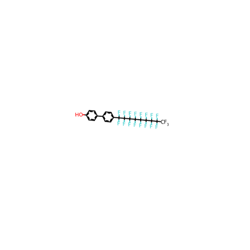 Oc1ccc(-c2ccc(C(F)(F)C(F)(F)C(F)(F)C(F)(F)C(F)(F)C(F)(F)C(F)(F)C(F)(F)C(F)(F)F)cc2)cc1